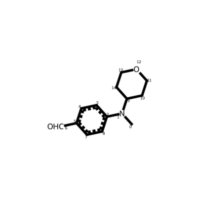 CN(c1ccc(C=O)cc1)C1CCOCC1